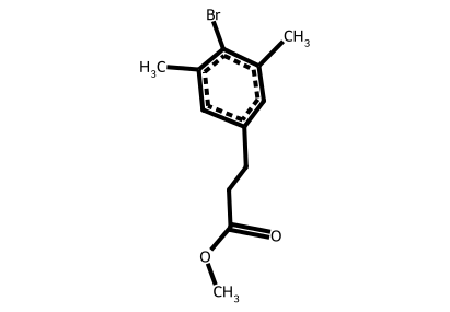 COC(=O)CCc1cc(C)c(Br)c(C)c1